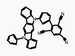 N#Cc1cc(C#N)c(-c2cccc(-n3c4ccccc4c4cc5c(cc43)c3ccccc3n5-c3ccccc3)c2)c(C#N)c1